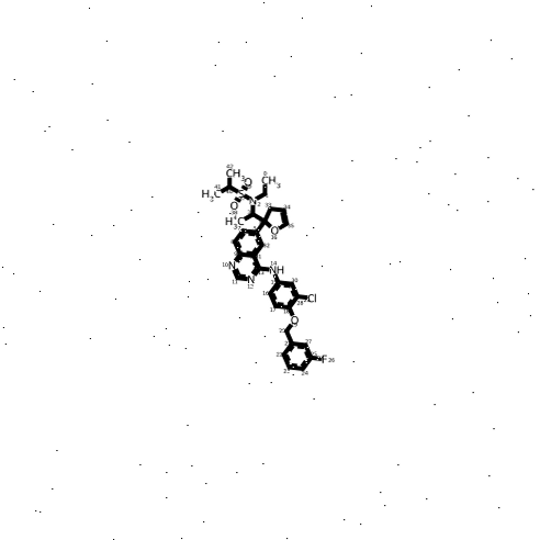 CCN(C(C)C1(c2ccc3ncnc(Nc4ccc(OCc5cccc(F)c5)c(Cl)c4)c3c2)CC=CO1)S(=O)(=O)C(C)C